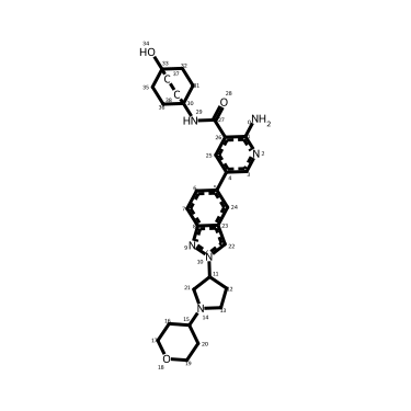 Nc1ncc(-c2ccc3nn(C4CCN(C5CCOCC5)C4)cc3c2)cc1C(=O)NC12CCC(O)(CC1)CC2